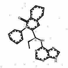 CC[C@H](Nc1ncnc2[nH]cnc12)c1cc2ccccc2c(=O)n1-c1ccccc1